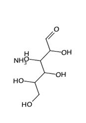 N.O=CC(O)C(O)C(O)C(O)CO